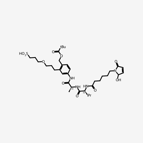 CC(C)[C@H](NC(=O)CCCCCN1C(=O)C=CC1O)C(=O)N[C@@H](C)C(=O)Nc1ccc(COC(=O)C(C)(C)C)c(CCCOCCCS(=O)(=O)O)c1